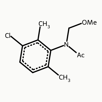 COCN(C(C)=O)c1c(C)ccc(Cl)c1C